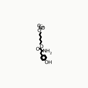 NC(Cc1ccc(O)cc1)C(=O)OCCCCCCO[N+](=O)[O-]